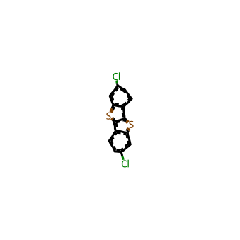 Clc1ccc2c(c1)sc1c3ccc(Cl)cc3sc21